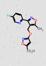 Cc1onc(-c2ccc(F)cn2)c1COc1cc(C(=O)O)on1